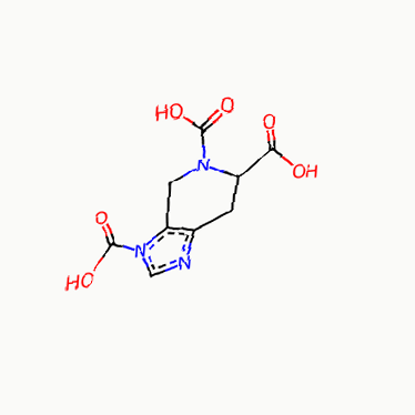 O=C(O)C1Cc2ncn(C(=O)O)c2CN1C(=O)O